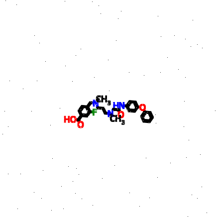 CN(CCCN(C)Cc1ccc(C(=O)O)cc1F)CC(=O)Nc1ccc(Oc2ccccc2)cc1